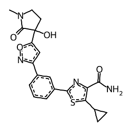 CN1CCC(O)(c2cc(-c3cccc(-c4nc(C(N)=O)c(C5CC5)s4)c3)no2)C1=O